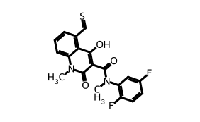 CN(C(=O)c1c(O)c2c(C=S)cccc2n(C)c1=O)c1cc(F)ccc1F